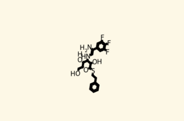 N/C(=C\NC1C(O)C(CO)OC(SCCc2ccccc2)C1O)c1cc(F)c(F)c(F)c1